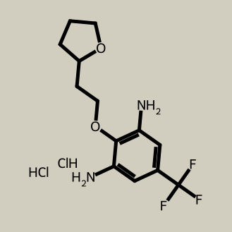 Cl.Cl.Nc1cc(C(F)(F)F)cc(N)c1OCCC1CCCO1